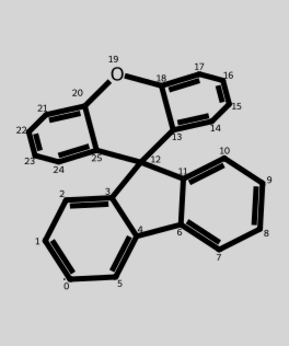 [c]1ccc2c(c1)-c1ccccc1C21c2ccccc2Oc2ccccc21